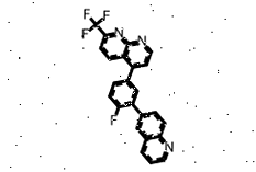 Fc1ccc(-c2ccnc3nc(C(F)(F)F)ccc23)cc1-c1ccc2ncccc2c1